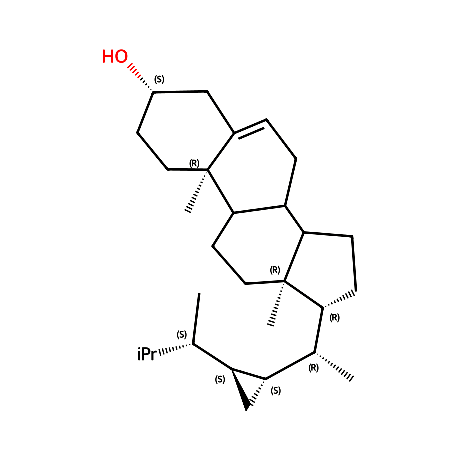 CC(C)[C@H](C)[C@@H]1C[C@H]1[C@@H](C)[C@H]1CCC2C3CC=C4C[C@@H](O)CC[C@]4(C)C3CC[C@@]21C